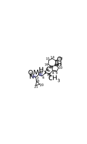 CO/N=C(\C=C\C[C@@H](C)C1=CC[C@H]2C(=O)CCC[C@]12C)C1CC1